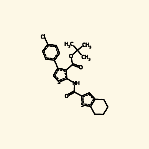 CC(C)(C)OC(=O)c1c(-c2ccc(Cl)cc2)csc1NC(=O)c1cc2c(s1)CCCC2